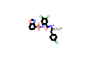 O=C(N[C@H](Cc1ccc(Cl)cc1)C(=O)O)c1cc(Cl)c(Cl)cc1NS(=O)(=O)c1cccc2ocnc12